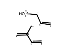 C=CC(=C)C.C=CCS(=O)(=O)O